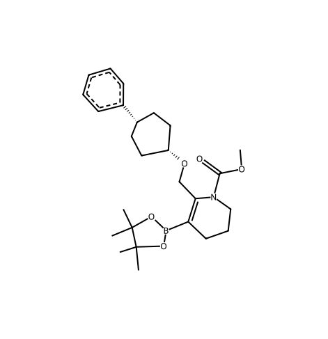 COC(=O)N1CCCC(B2OC(C)(C)C(C)(C)O2)=C1CO[C@H]1CC[C@@H](c2ccccc2)CC1